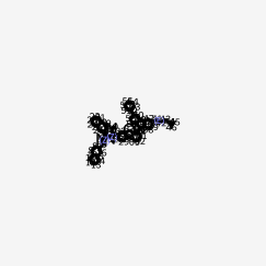 C=N/C(=N\C(=N/Cc1ccc2ccccc2c1)c1ccc2ccccc2c1)c1ccc2c(c1)OC1=C(n3c4ccc(/C=C/CC5C=C5)cc4c4cc(-c5ccccc5)ccc43)C=CCC12